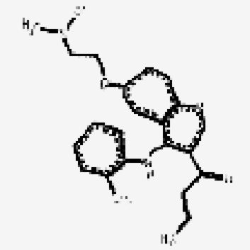 CCCC(=O)c1cnc2ccc(OCC[S+](C)[O-])cc2c1Nc1ccccc1C